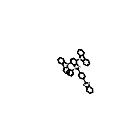 c1ccc(-n2c(-c3ccc(-c4nc5ccccc5o4)cc3)nc3c(-n4c5ccccc5c5ccccc54)ccc(-n4c5ccccc5c5ccccc54)c32)cc1